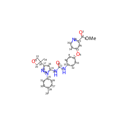 COC(=O)c1cc(Oc2ccc(NC(=O)Nc3cc(C4(C)COC4)nn3-c3ccc(C)cc3)cc2)ccn1